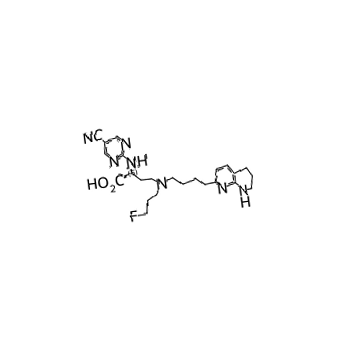 N#Cc1cnc(N[C@@H](CCN(CCCF)CCCCc2ccc3c(n2)NCCC3)C(=O)O)nc1